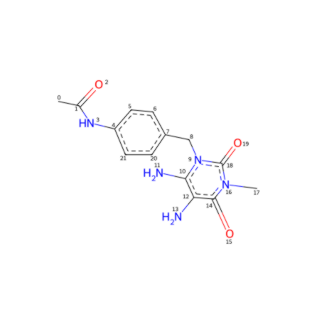 CC(=O)Nc1ccc(Cn2c(N)c(N)c(=O)n(C)c2=O)cc1